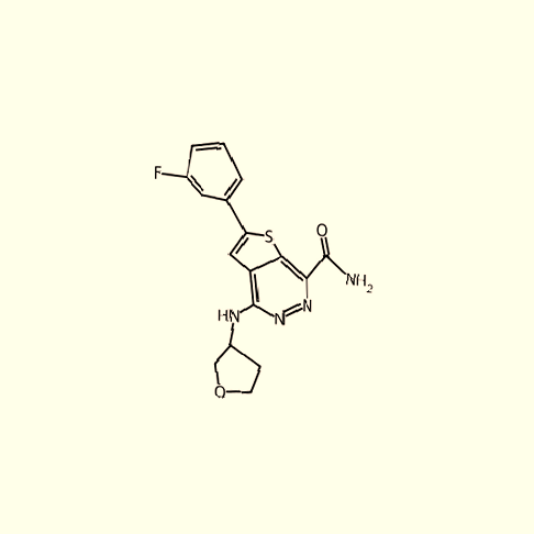 NC(=O)c1nnc(NC2CCOC2)c2cc(-c3cccc(F)c3)sc12